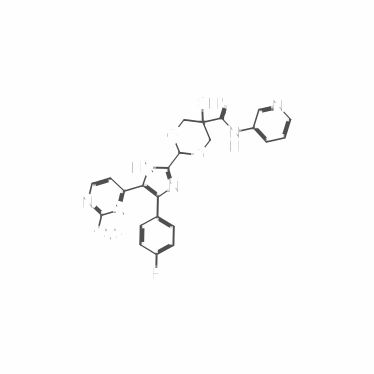 CSc1nccc(-c2[nH]c(C3OCC(C)(C(=O)Nc4cccnc4)CO3)nc2-c2ccc(F)cc2)n1